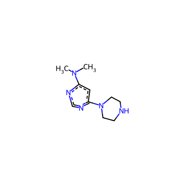 CN(C)c1cc(N2CCNCC2)ncn1